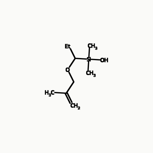 C=C(C)COC(CC)[Si](C)(C)O